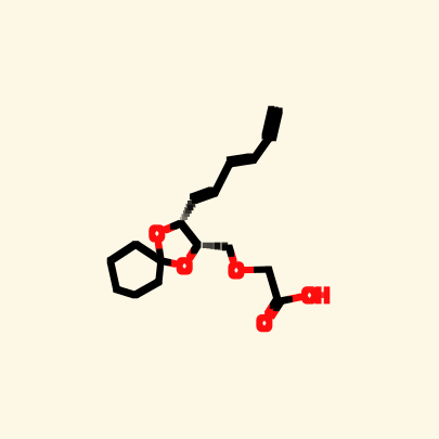 C#CC=CC=C[C@H]1OC2(CCCCC2)O[C@H]1COCC(=O)O